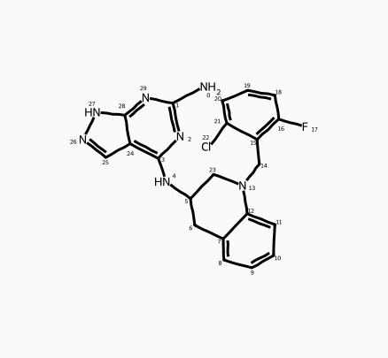 Nc1nc(NC2Cc3ccccc3N(Cc3c(F)cccc3Cl)C2)c2cn[nH]c2n1